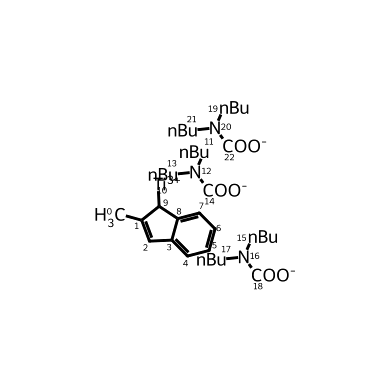 CC1=Cc2ccccc2[CH]1[Ti+3].CCCCN(CCCC)C(=O)[O-].CCCCN(CCCC)C(=O)[O-].CCCCN(CCCC)C(=O)[O-]